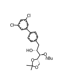 CCCCO[C@H]([C@H](O)Cc1ccc(-c2cc(Cl)cc(Cl)c2)cc1)[C@@H]1COC(C)(C)O1